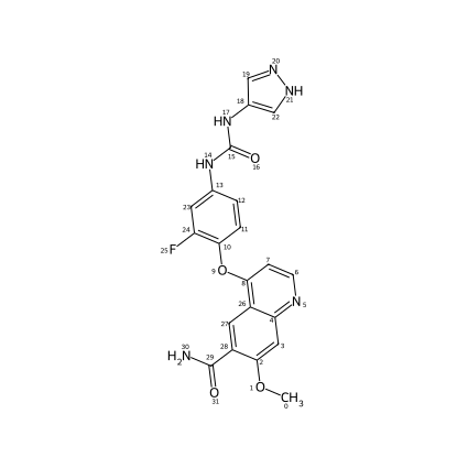 COc1cc2nccc(Oc3ccc(NC(=O)Nc4cn[nH]c4)cc3F)c2cc1C(N)=O